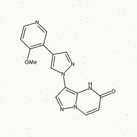 COc1ccncc1-c1cnn(-c2cnn3ccc(=O)[nH]c23)c1